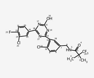 CC(C)(C(=O)NCc1ccc(Cl)c(-c2nc(O)nc(-c3ccc(F)c(Cl)c3)n2)c1)C(F)(F)F